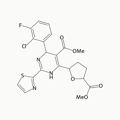 COC(=O)C1=C(C2CCC(C(=O)OC)O2)NC(c2nccs2)=NC1c1cccc(F)c1Cl